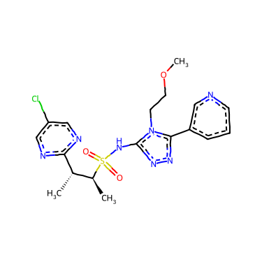 COCCn1c(NS(=O)(=O)[C@@H](C)[C@H](C)c2ncc(Cl)cn2)nnc1-c1cccnc1